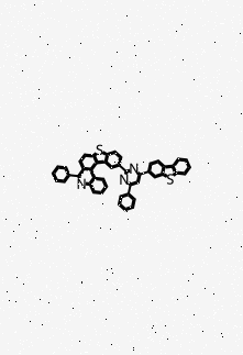 c1ccc(-c2cc(-c3ccc4c(c3)sc3ccccc34)nc(-c3ccc4sc5ccc6c(-c7ccccc7)nc7ccccc7c6c5c4c3)n2)cc1